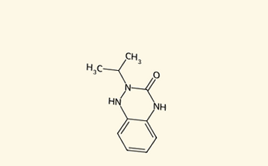 CC(C)N1Nc2ccccc2NC1=O